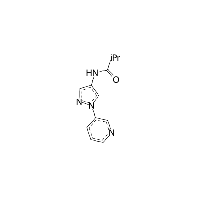 CC(C)C(=O)Nc1cnn(-c2cccnc2)c1